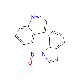 O=Nn1ccc2ccccc21.c1ccc2ncccc2c1